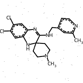 Cc1cc(CNC2=Nc3cc(Cl)c(Cl)cc3NC23CCN(C)CC3)ccn1